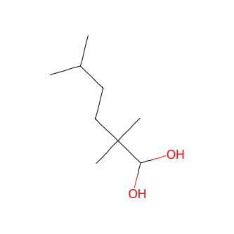 CC(C)CCC(C)(C)C(O)O